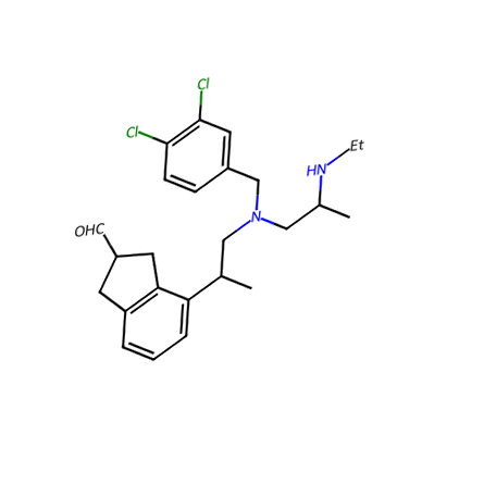 CCNC(C)CN(Cc1ccc(Cl)c(Cl)c1)CC(C)c1cccc2c1CC(C=O)C2